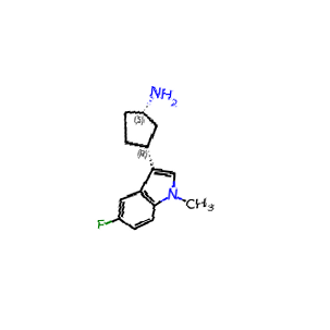 Cn1cc([C@@H]2CC[C@H](N)C2)c2cc(F)ccc21